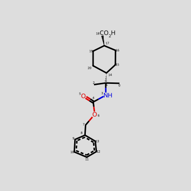 CC(C)(NC(=O)OCc1ccccc1)[C@H]1CC[C@H](C(=O)O)CC1